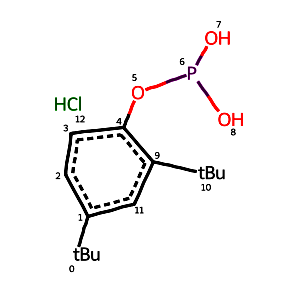 CC(C)(C)c1ccc(OP(O)O)c(C(C)(C)C)c1.Cl